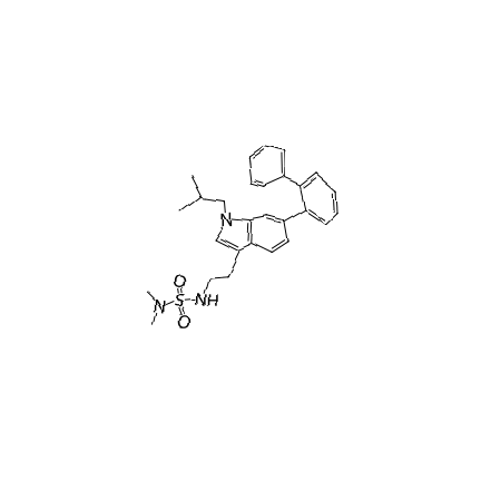 CC(C)Cn1cc(CCNS(=O)(=O)N(C)C)c2ccc(-c3ccccc3-c3ccccc3)cc21